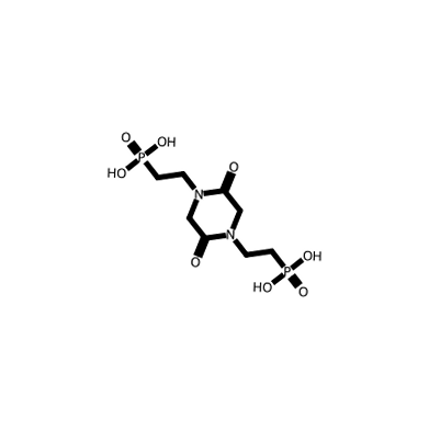 O=C1CN(CCP(=O)(O)O)C(=O)CN1CCP(=O)(O)O